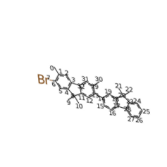 Cc1cc2c(cc1Br)C(C)(C)c1cc(-c3ccc4c(c3)C(C)(C)c3ccccc3-4)c(C)cc1-2